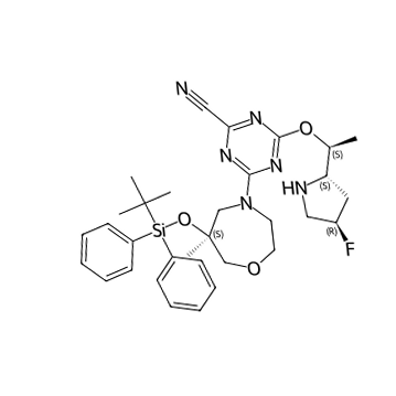 C[C@H](Oc1nc(C#N)nc(N2CCOC[C@@](C)(O[Si](c3ccccc3)(c3ccccc3)C(C)(C)C)C2)n1)[C@@H]1C[C@@H](F)CN1